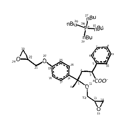 CC(CC(C(=O)[O-])c1ccccc1)(OCC1CO1)c1ccc(OCC2CO2)cc1.CCCC[P+](CCCC)(CCCC)CCCC